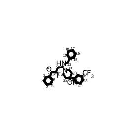 O=C(c1ccccc1)C(F)CC(NCc1ccccc1)N1CCC(O)(c2cccc(C(F)(F)F)c2)CC1